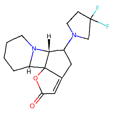 O=C1C=C2CC(N3CCC(F)(F)C3)[C@H]3N4CCCC[C@@H]4C23O1